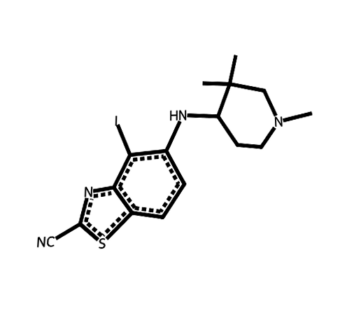 CN1CCC(Nc2ccc3sc(C#N)nc3c2I)C(C)(C)C1